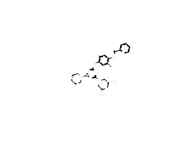 COc1cc(NC(=O)c2ccccc2)c(C)cc1Nc1nc(N2C[C@H](N)C[C@H](N)C2)nc(N2C[C@H](N)C[C@H](N)C2)n1